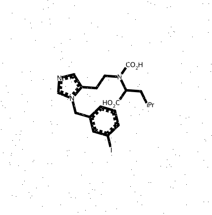 CC(C)CC(C(=O)O)N(CCc1cncn1Cc1cccc(I)c1)C(=O)O